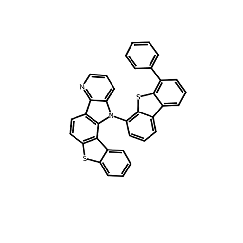 c1ccc(-c2cccc3c2sc2c(-n4c5cccnc5c5ccc6sc7ccccc7c6c54)cccc23)cc1